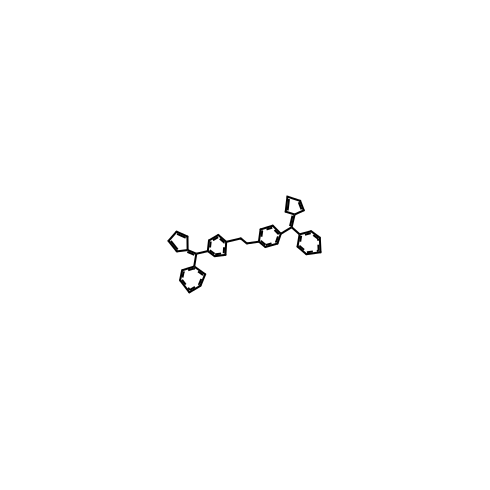 C1=CC(=C(c2ccccc2)c2ccc(CCc3ccc(C(=C4C=CC=C4)c4ccccc4)cc3)cc2)C=C1